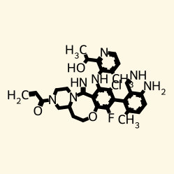 C=CC(=O)N1CCN2C(=N)c3c(Nc4c(C)ccnc4C(C)O)c(Cl)c(-c4c(C)ccc(N)c4C=N)c(F)c3OCCC2C1